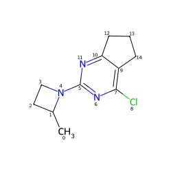 CC1CCN1c1nc(Cl)c2c(n1)CCC2